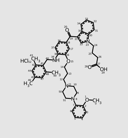 COc1ccccc1N1CCN(CCCOc2cc(C(=O)c3cn(CCCC(=O)O)c4ccccc34)ccc2NCc2c(C)cc(C)cc2C)CC1.Cl